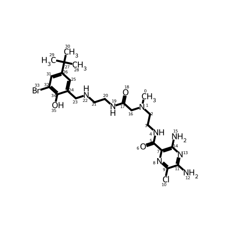 CN(CCNC(=O)c1nc(Cl)c(N)nc1N)CC(=O)NCCNCc1cc(C(C)(C)C)cc(Br)c1O